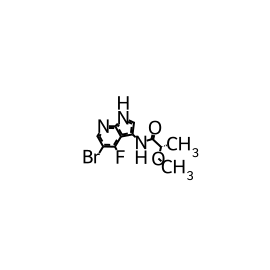 CO[C@@H](C)C(=O)Nc1c[nH]c2ncc(Br)c(F)c12